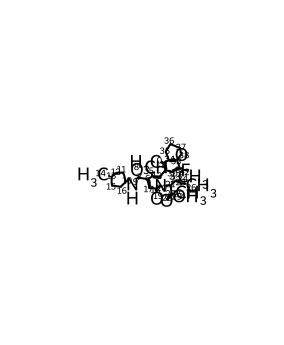 Cc1c(-c2c(C)c(C(=O)N[C@H]3CC[C@H](C)CC3)cc(=O)n2C(CC(C)(C)C)C(=O)O)cc(F)c2c1CCCO2